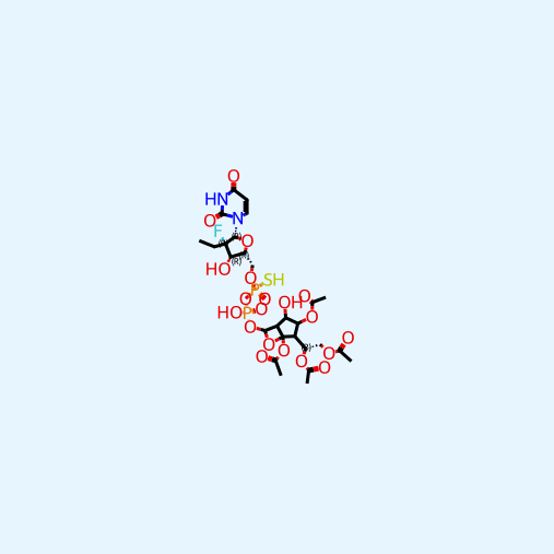 CC[C@@]1(F)[C@H](O)[C@@H](COP(=O)(S)OP(=O)(O)OC2OC3(OC(C)=O)C2C(O)C(OC(C)=O)C3[C@H](COC(C)=O)OC(C)=O)O[C@H]1n1ccc(=O)[nH]c1=O